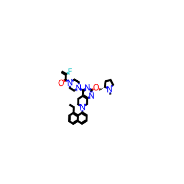 C=C(F)C(=O)N1CCN(c2nc(OC[C@@H]3CCCN3C)nc3c2CCN(c2cccc4cccc(CC)c24)C3)CC1